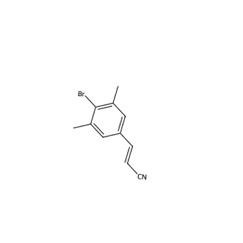 Cc1cc(C=CC#N)cc(C)c1Br